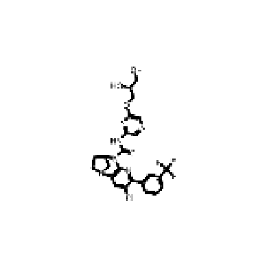 O=C(Nc1cncc(OC[C@@H](O)CO)n1)N1c2nc(-c3cccc(C(F)(F)F)c3)c(Cl)cc2N2CCC1C2